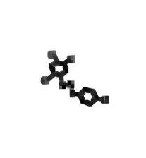 Clc1ccc(S/N=N/c2cc(Cl)c(Cl)cc2Cl)cc1